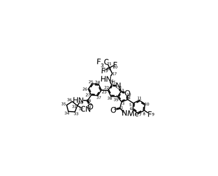 CNC(=O)c1c(-c2ccc(F)cc2)oc2nc(NCC(F)(F)C(F)(F)F)c(-c3cccc(C(=O)NC4(C#N)CCCC4)c3)cc12